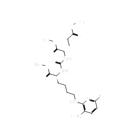 CC(C)(C)OC(=O)CC[C@H](NC(=O)N[C@@H](CCCCNc1nc(F)ccc1[N+](=O)[O-])C(=O)OC(C)(C)C)C(=O)OC(C)(C)C